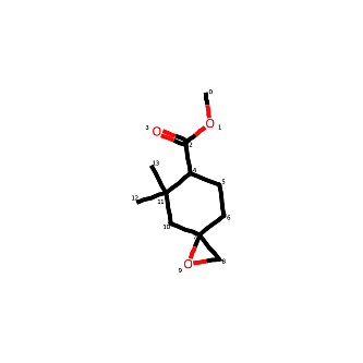 COC(=O)C1CCC2(CO2)CC1(C)C